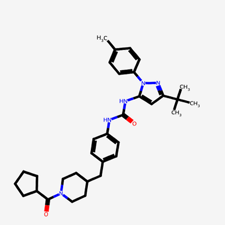 Cc1ccc(-n2nc(C(C)(C)C)cc2NC(=O)Nc2ccc(CC3CCN(C(=O)C4CCCC4)CC3)cc2)cc1